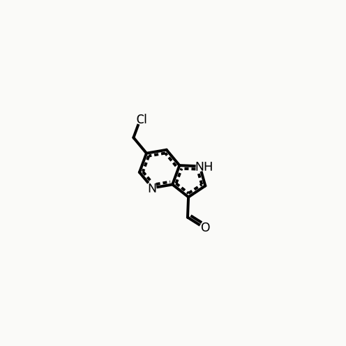 O=Cc1c[nH]c2cc(CCl)cnc12